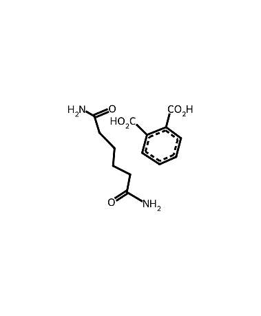 NC(=O)CCCCC(N)=O.O=C(O)c1ccccc1C(=O)O